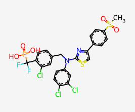 CS(=O)(=O)c1ccc(-c2csc(N(Cc3ccc(C(F)(F)P(=O)(O)O)c(Cl)c3)c3ccc(Cl)c(Cl)c3)n2)cc1